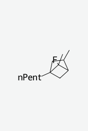 CCCCCC12CC(C)C(C1)C2(C)F